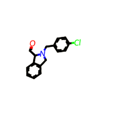 O=CC1c2ccccc2CN1Cc1ccc(Cl)cc1